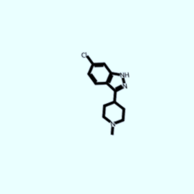 CN1CCC(c2n[nH]c3cc(Cl)ccc23)CC1